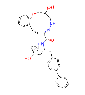 O=C(N[C@H](Cc1ccc(-c2ccccc2)cc1)C[C@@H](O)C(=O)O)C1=NNCC(O)COc2ccccc2C=C1